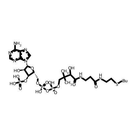 CCC(C)SCCNC(=O)CCNC(=O)C(O)C(C)(C)COP(=O)(O)OP(=O)(O)OC[C@H]1O[C@@H](n2cnc3c(N)ncnc32)[C@H](O)[C@@H]1OP(=O)(O)O